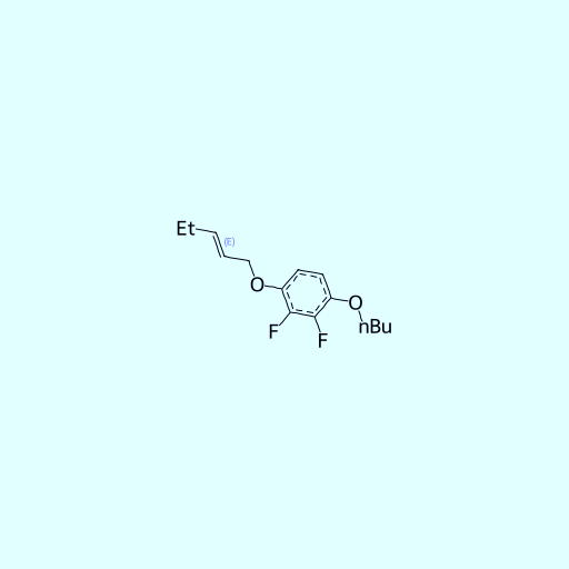 CC/C=C/COc1ccc(OCCCC)c(F)c1F